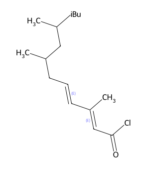 CCC(C)C(C)CC(C)C/C=C/C(C)=C/C(=O)Cl